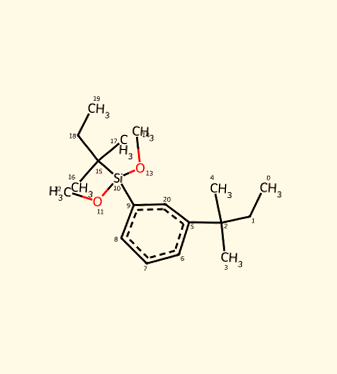 CCC(C)(C)c1cccc([Si](OC)(OC)C(C)(C)CC)c1